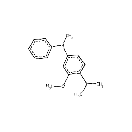 COc1cc(N(C)c2ccccc2)ccc1C(C)C